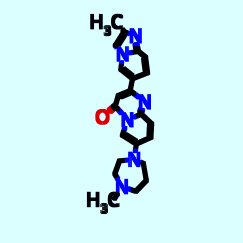 Cc1cn2cc(-c3cc(=O)n4cc(N5CCCN(C)CC5)ccc4n3)ccc2n1